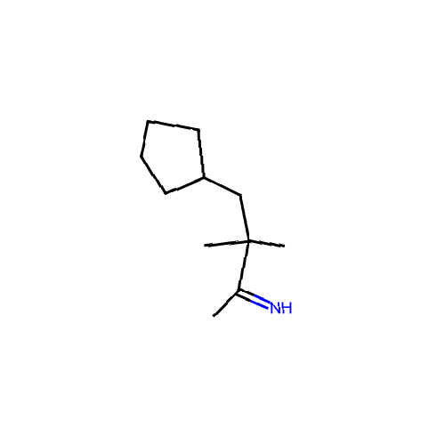 CC(=N)C(C)(C)CC1CCCC1